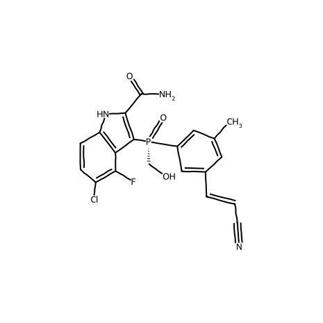 Cc1cc(/C=C/C#N)cc([P@@](=O)(CO)c2c(C(N)=O)[nH]c3ccc(Cl)c(F)c23)c1